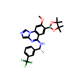 COc1cc2c(cc1B1OC(C)(C)C(C)(C)O1)c(N[C@H](C)c1cccc(C(F)(F)F)c1)nc1cncn12